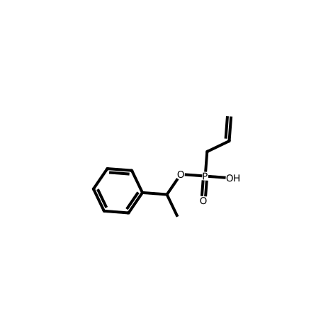 C=CCP(=O)(O)OC(C)c1ccccc1